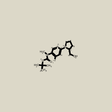 CN(C(=O)OC(C)(C)C)c1cnc(N2CCCC2CO)cc1I